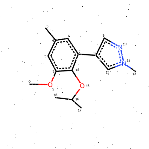 COc1cc(C)cc(-c2cnn(C)c2)c1OC(C)C